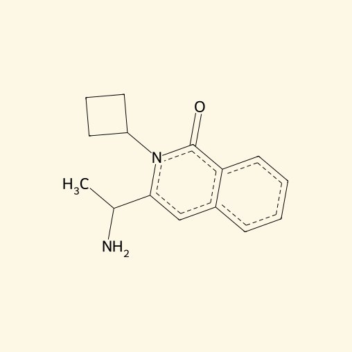 CC(N)c1cc2ccccc2c(=O)n1C1CCC1